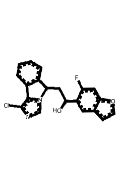 OC(CC1c2ccccc2-c2c(Cl)ncn21)c1cc2ccoc2cc1F